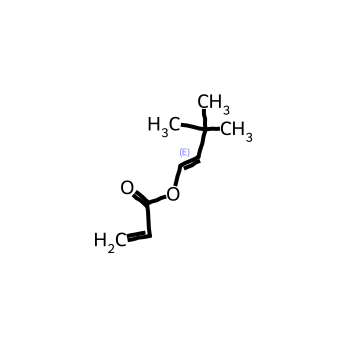 C=CC(=O)O/C=C/C(C)(C)C